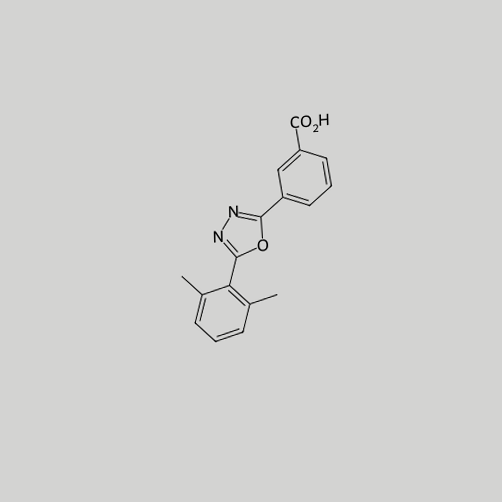 Cc1cccc(C)c1-c1nnc(-c2cccc(C(=O)O)c2)o1